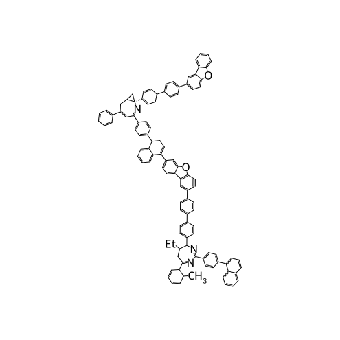 CCC1CC(C2C=CC=CC2C)=NC(c2ccc(-c3cccc4ccccc34)cc2)=NC1c1ccc(-c2ccc(-c3c#cc4oc5cc(C6=CCC(c7ccc(C8=N[C@]9(C%10=CCC(c%11ccc(-c%12ccc%13oc%14ccccc%14c%13c%12)cc%11)C=C%10)CC9CC(c9ccccc9)=C8)cc7)c7ccccc76)ccc5c4c3)cc2)cc1